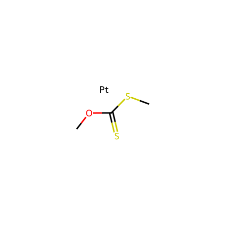 COC(=S)SC.[Pt]